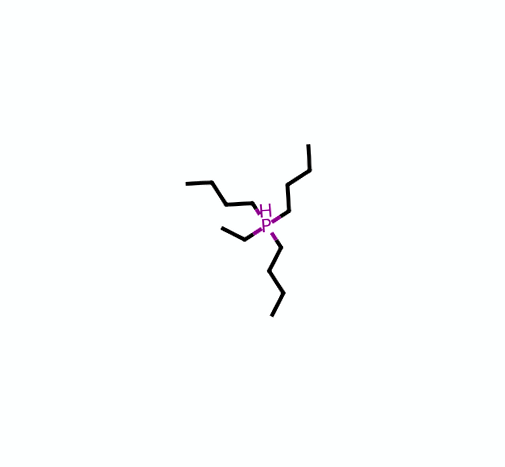 CCCC[PH](CC)(CCCC)CCCC